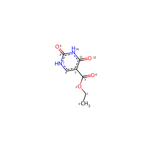 CCOC(=O)c1c[nH]c(=O)[nH]c1=O